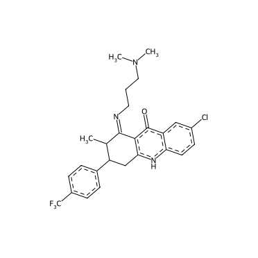 CC1C(=NCCCN(C)C)c2c([nH]c3ccc(Cl)cc3c2=O)CC1c1ccc(C(F)(F)F)cc1